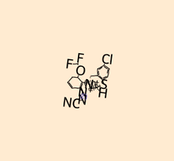 N#C/N=[N+]1\C2=C(C(OC(F)F)CC=C2)[N@@+]23Cc4cc(Cl)ccc4S[C@H](C2)C13